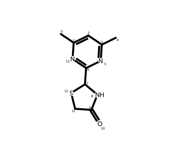 Cc1cc(C)nc(C2NC(=O)CS2)n1